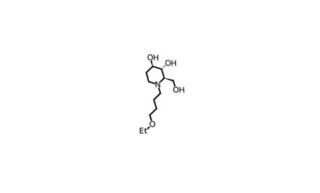 CCOCCCCN1CC[C@@H](O)[C@H](O)[C@H]1CO